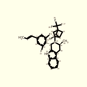 C/C=C/c1cc(F)c([C@H]2c3[nH]c4ccccc4c3C[C@H](C)N2[C@@H]2CC3(C(F)(F)F)CC2C3)c(F)c1